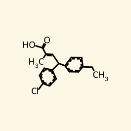 CCc1ccc(C(C=C(C)C(=O)O)c2ccc(Cl)cc2)cc1